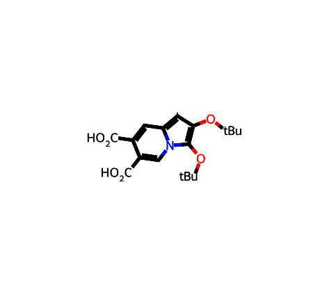 CC(C)(C)Oc1[c]c2cc(C(=O)O)c(C(=O)O)cn2c1OC(C)(C)C